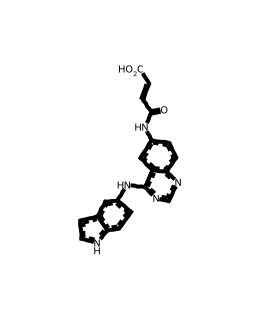 O=C(O)C=CC(=O)Nc1ccc2ncnc(Nc3ccc4[nH]ccc4c3)c2c1